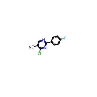 N#Cc1cnc(-c2ccc(F)cc2)nc1Cl